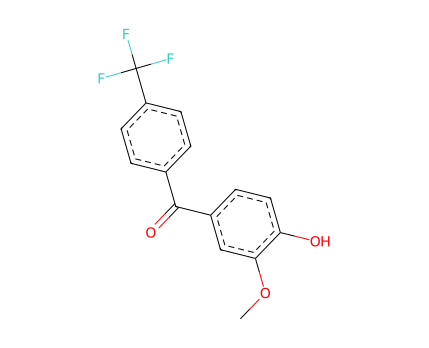 COc1cc(C(=O)c2ccc(C(F)(F)F)cc2)ccc1O